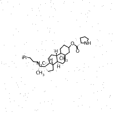 CC(C)CCC[C@@H](C)[C@H]1CC[C@H]2[C@@H]3CC=C4CC(OC(=O)[C@@H]5CCCN5)CC[C@]4(C)[C@H]3CC[C@]12C